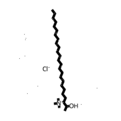 CCCCCCCCCCCCCCCCCCCCCCC(C(C)O)[N+](C)(C)C.[Cl-]